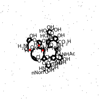 CCCCCCCCCC(=O)N[C@H]1[C@H](Oc2c3cc4cc2Oc2ccc(cc2Cl)[C@@H](O[C@@H]2O[C@H](CO)[C@@H](O)[C@H](O)[C@H]2NC(C)=O)[C@@H]2NC(=O)[C@H](NC(=O)[C@@H]4NC(=O)[C@H]4NC(=O)[C@H](Cc5ccc(c(Cl)c5)O3)NC(=O)[C@H](N)c3ccc(O)c(c3)Oc3cc(O)cc4c3)c3ccc(O)c(c3)-c3c(O[C@H]4O[C@H](CO)[C@@H](O)[C@H](O)[C@@H]4O)cc(O)cc3[C@H](C(=O)O)NC2=O)O[C@H](CO)[C@@H](O)[C@@H]1O